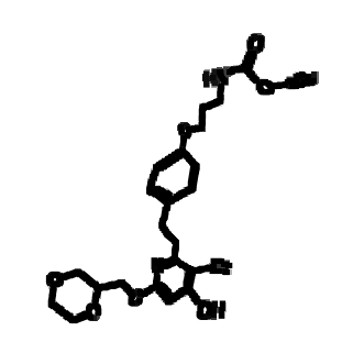 CCc1c(O)cc(OCC2COCCO2)nc1CCc1ccc(OCCCNC(=O)OC(C)(C)C)cc1